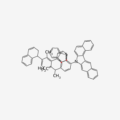 C=C(/C(=C(C)\C(=C/C)C1CC=Cc2ccccc21)c1ccccc1)C(C)c1ccc(-n2c3cc4ccccc4cc3c3c4ccccc4ccc32)c2sc3ccccc3c12